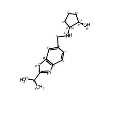 CC(C)c1nc2ccc(CN[C@H]3CCC[C@H]3O)cc2s1